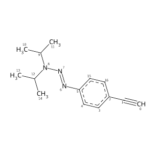 C#Cc1ccc(N=NN(C(C)C)C(C)C)cc1